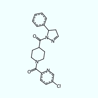 O=C(c1ccc(Cl)cn1)N1CCC(C(=O)N2N=CCC2c2ccccc2)CC1